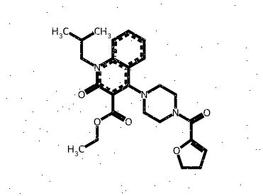 CCOC(=O)c1c(N2CCN(C(=O)C3=CCCO3)CC2)c2ccccc2n(CC(C)C)c1=O